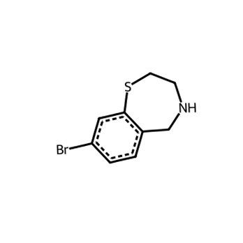 Brc1ccc2c(c1)SCCNC2